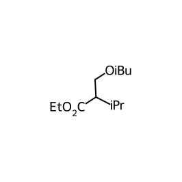 CCOC(=O)C(COCC(C)C)C(C)C